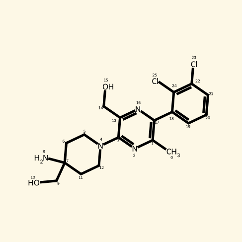 Cc1nc(N2CCC(N)(CO)CC2)c(CO)nc1-c1cccc(Cl)c1Cl